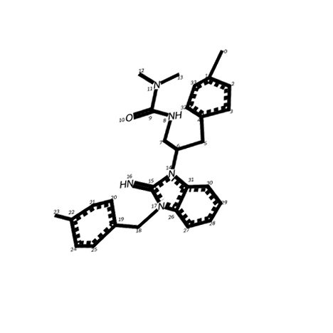 Cc1ccc(CC(CNC(=O)N(C)C)n2c(=N)n(Cc3ccc(C)cc3)c3ccccc32)cc1